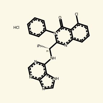 CC(C)[C@@H](Nc1ncnc2nc[nH]c12)c1nc2cccc(Cl)c2c(=O)n1-c1ccccc1.Cl